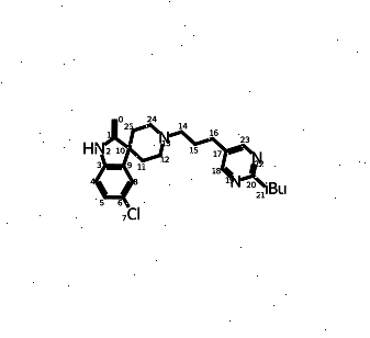 C=C1Nc2ccc(Cl)cc2C12CCN(CCCc1cnc(C(C)CC)nc1)CC2